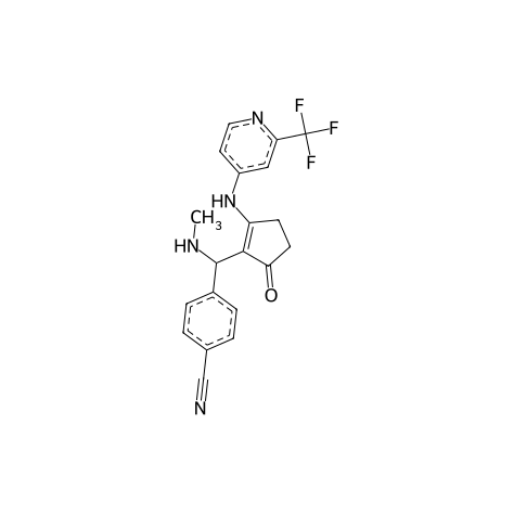 CNC(C1=C(Nc2ccnc(C(F)(F)F)c2)CCC1=O)c1ccc(C#N)cc1